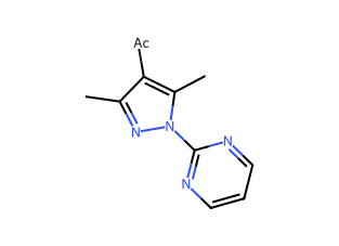 CC(=O)c1c(C)nn(-c2ncccn2)c1C